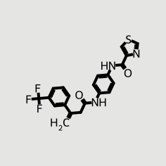 C=C(CC(=O)Nc1ccc(NC(=O)c2cscn2)cc1)c1cccc(C(F)(F)F)c1